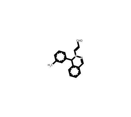 Cc1cccc(C2c3ccccc3C=NN2C=CC=O)c1